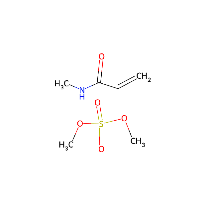 C=CC(=O)NC.COS(=O)(=O)OC